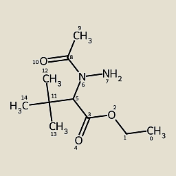 CCOC(=O)C(N(N)C(C)=O)C(C)(C)C